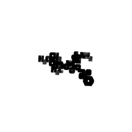 CC(CC(=O)OC(C)(C)C)O/N=C(\C(=O)OCCS(=O)(=O)c1ccccc1)c1csc(N)n1